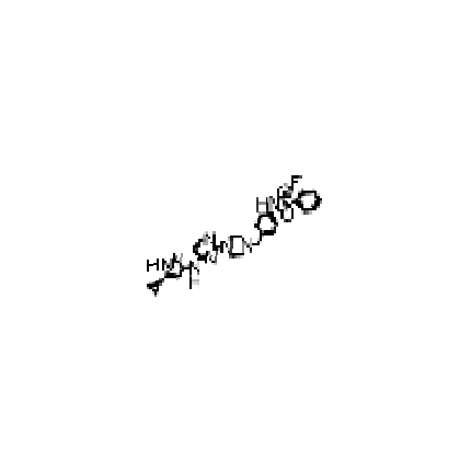 O=S(=O)(Nc1ccc(CN2CCN(c3nccc(Nc4cc(C5CC5)[nH]n4)n3)CC2)cc1)c1ccccc1F